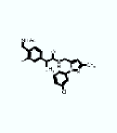 CC(=O)NCc1ccc(C(C)C(=O)NCc2cc(C(F)(F)F)nn2-c2cccc(Cl)c2)cc1F